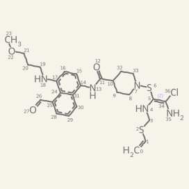 C=CSCN/C(SN1CCC(C(=O)Nc2ccc(NCCCOC)c3c(C=O)cccc23)CC1)=C(\N)Cl